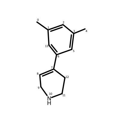 Cc1cc(C)cc(C2=CCNCC2)c1